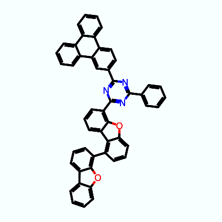 c1ccc(-c2nc(-c3ccc4c5ccccc5c5ccccc5c4c3)nc(-c3cccc4c3oc3cccc(-c5cccc6c5oc5ccccc56)c34)n2)cc1